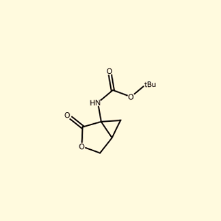 CC(C)(C)OC(=O)NC12CC1COC2=O